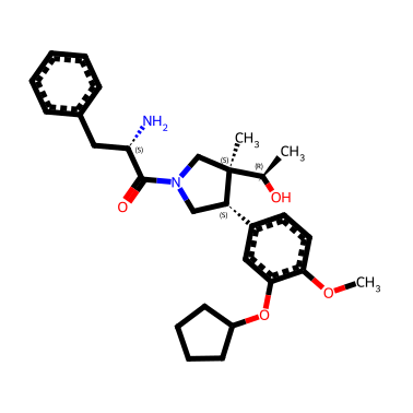 COc1ccc([C@@H]2CN(C(=O)[C@@H](N)Cc3ccccc3)C[C@@]2(C)[C@@H](C)O)cc1OC1CCCC1